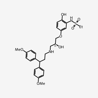 CCS(=O)(=O)Nc1cc(OC[C@@H](O)CNCCC(c2ccc(OC)cc2)c2ccc(OC)cc2)ccc1O